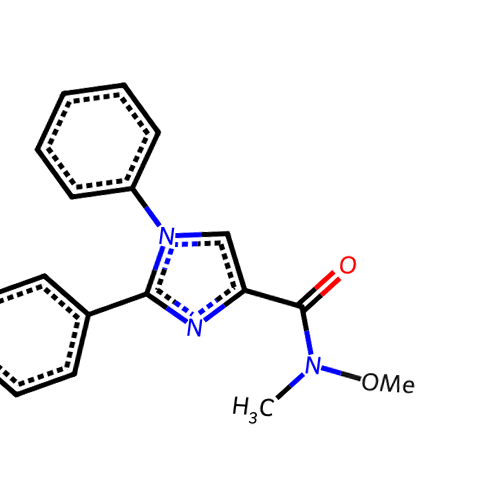 CON(C)C(=O)c1cn(-c2ccccc2)c(-c2ccccc2)n1